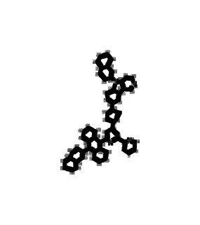 c1ccc(-c2cc(-c3ccc(-c4ccc5c(c4)c4cnccc4n5-c4ccc5ccccc5c4)cc3)cc(-c3c4ccccc4c(-c4ccc5ccccc5c4)c4ccccc34)n2)nc1